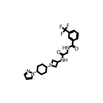 O=C(CNC(=O)c1cccc(C(F)(F)F)c1)NC1CN([C@H]2CC[C@@H](n3cccn3)CC2)C1